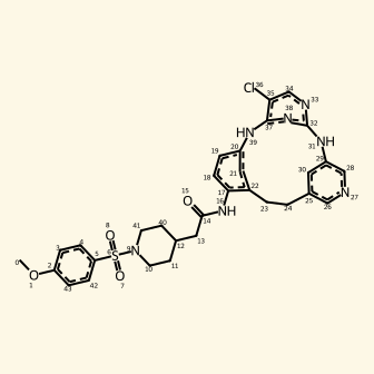 COc1ccc(S(=O)(=O)N2CCC(CC(=O)Nc3ccc4cc3CCc3cncc(c3)Nc3ncc(Cl)c(n3)N4)CC2)cc1